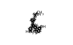 CCNC(=O)OC[C@@H]1CC[C@]2(COc3nc(N4CCC[C@@](C)(O)C4)c4cnc(-c5cc(O)cc6ccc(F)c(CC)c56)c(F)c4n3)CCCN12